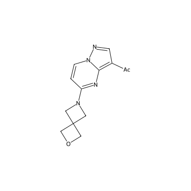 CC(=O)c1cnn2ccc(N3CC4(COC4)C3)nc12